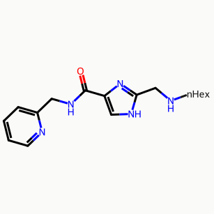 CCCCCCNCc1nc(C(=O)NCc2ccccn2)c[nH]1